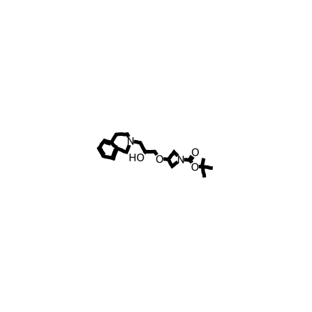 CC(C)(C)OC(=O)N1CC(OCC(O)CN2CCc3ccccc3C2)C1